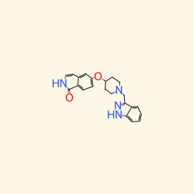 O=c1[nH]ccc2cc(OC3CCN(Cc4n[nH]c5ccccc45)CC3)ccc12